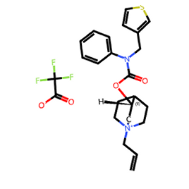 C=CC[N+]12CCC(CC1)[C@@H](OC(=O)N(Cc1ccsc1)c1ccccc1)C2.O=C([O-])C(F)(F)F